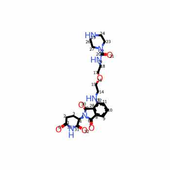 O=C1CCC(N2C(=O)c3cccc(NCCOCCNC(=O)N4CCNCC4)c3C2=O)C(=O)N1